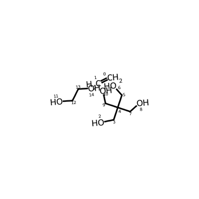 C=C.OCC(CO)(CO)CO.OCCO